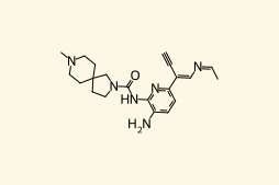 C#C/C(=C\N=C/C)c1ccc(N)c(NC(=O)N2CCC3(CCN(C)CC3)C2)n1